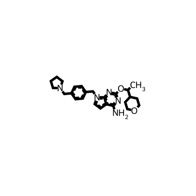 CC(Oc1nc(N)c2ccn(Cc3ccc(CN4CCCC4)cc3)c2n1)C1CCOCC1